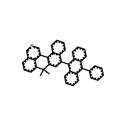 CC1(C)c2cc(-c3c4ccccc4c(-c4ccccc4)c4ccccc34)c3ccccc3c2-c2cncc3cccc1c23